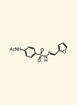 CC(=O)Nc1ccc(S(=O)(=O)NN=Cc2ccco2)cc1